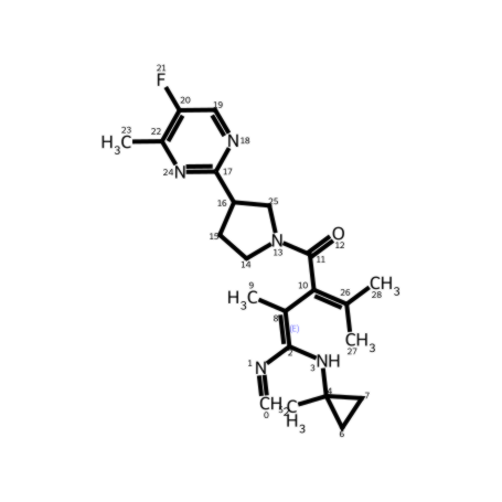 C=N/C(NC1(C)CC1)=C(\C)C(C(=O)N1CCC(c2ncc(F)c(C)n2)C1)=C(C)C